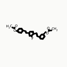 C=CC(=O)OCc1cccc(/C=C/c2ccc(/C=C/c3ccc(OC(=O)C=C)cc3)cc2F)c1